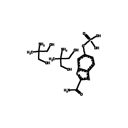 CC(N)(CO)CO.CC(N)(CO)CO.NC(=O)c1nc2ccc(OP(=O)(O)O)cc2s1